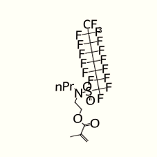 C=C(C)C(=O)OCCN(CCC)S(=O)(=O)C(F)(F)C(F)(F)C(F)(F)C(F)(F)C(F)(F)C(F)(F)C(F)(F)C(F)(F)F